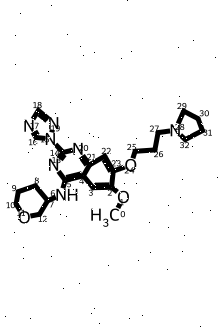 COc1cc2c(NC3CCCOC3)nc(-n3cncn3)nc2cc1OCCCN1CCCC1